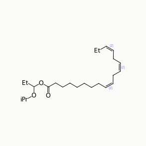 CC/C=C\C/C=C\C/C=C\CCCCCCCC(=O)OC(CC)OC(C)C